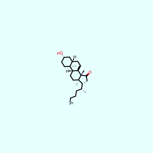 CC(C)CCC[C@@H](C)[C@H]1CC(=O)[C@@]2(C)C3=CC[C@H]4C[C@@H](O)CC[C@]4(C)[C@H]3CC[C@]12C